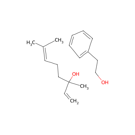 C=CC(C)(O)CCC=C(C)C.OCCc1ccccc1